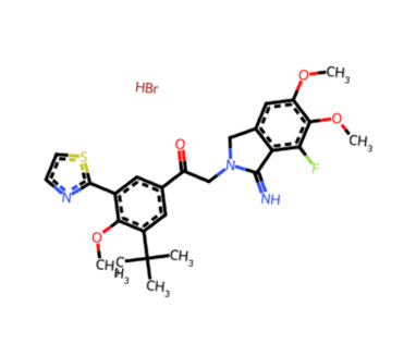 Br.COc1cc2c(c(F)c1OC)C(=N)N(CC(=O)c1cc(-c3nccs3)c(OC)c(C(C)(C)C)c1)C2